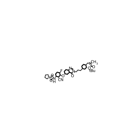 CN(Cc1ccc(CCCn2cnc3ccc(Oc4c(F)ccc(NS(=O)(=O)N5CCCC5)c4C#N)cc3c2=O)cc1)C(=O)OC(C)(C)C